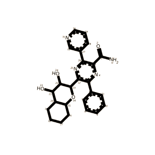 NC(=O)c1nc(-c2ccccc2)c(C2OC3CCCCC3C(O)C2O)nc1-c1cccnc1